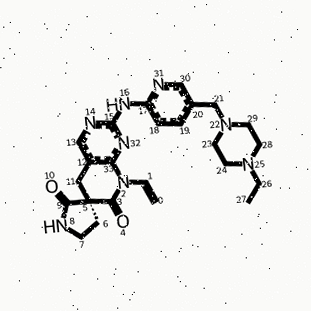 C=CN1C(=O)[C@]2(CCNC2=O)Cc2cnc(Nc3ccc(CN4CCN(CC)CC4)cn3)nc21